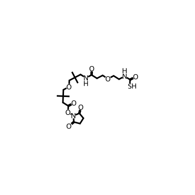 CC(C)(CNC(=O)CCOCCNC(=O)S)COCC(C)(C)CC(=O)ON1C(=O)CCC1=O